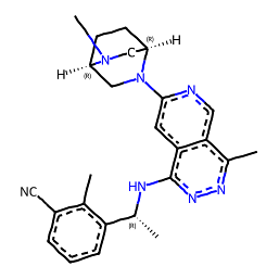 Cc1c(C#N)cccc1[C@@H](C)Nc1nnc(C)c2cnc(N3C[C@H]4CC[C@@H]3CN4C)cc12